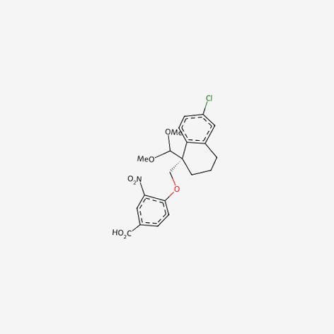 COC(OC)[C@]1(COc2ccc(C(=O)O)cc2[N+](=O)[O-])CCCc2cc(Cl)ccc21